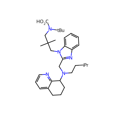 CC(C)CCN(Cc1nc2ccccc2n1CC(C)(C)CN(C(=O)O)C(C)(C)C)C1CCCc2cccnc21